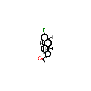 CC(=O)[C@H]1CC[C@H]2[C@@H]3CC[C@H]4C[C@@H](F)CC[C@]4(C)[C@H]3CC[C@]12C